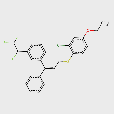 O=C(O)COc1ccc(SCC=C(c2ccccc2)c2cccc(C(F)C(F)F)c2)c(Cl)c1